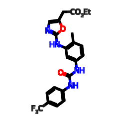 CCOC(=O)Cc1cnc(Nc2cc(NC(=O)Nc3ccc(C(F)(F)F)cc3)ccc2C)o1